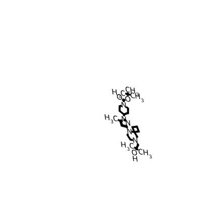 Cc1cc(N2CCN(CC(C)(C)O)CC23CCC3)nn1C1CCN(C(=O)OC(C)(C)C)CC1